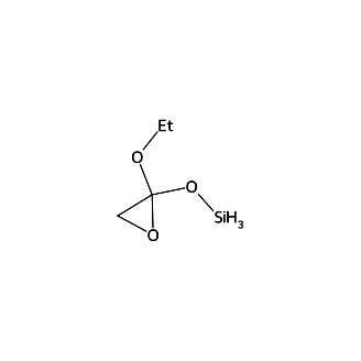 CCOC1(O[SiH3])CO1